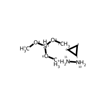 C1CC1.CO[SiH](OC)OC.NN